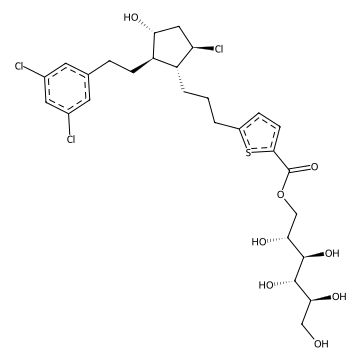 O=C(OC[C@@H](O)[C@@H](O)[C@@H](O)[C@@H](O)CO)c1ccc(CCC[C@@H]2[C@@H](CCc3cc(Cl)cc(Cl)c3)[C@H](O)C[C@H]2Cl)s1